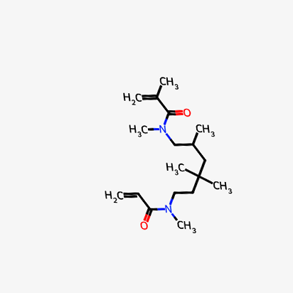 C=CC(=O)N(C)CCC(C)(C)CC(C)CN(C)C(=O)C(=C)C